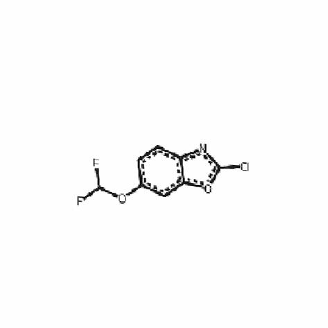 FC(F)Oc1ccc2nc(Cl)oc2c1